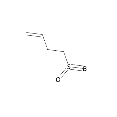 B#S(=O)CCC=C